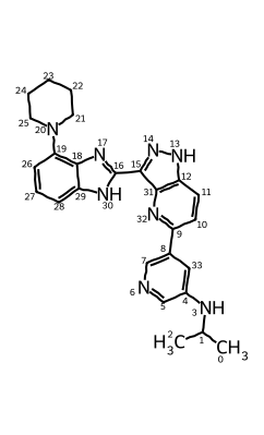 CC(C)Nc1cncc(-c2ccc3[nH]nc(-c4nc5c(N6CCCCC6)cccc5[nH]4)c3n2)c1